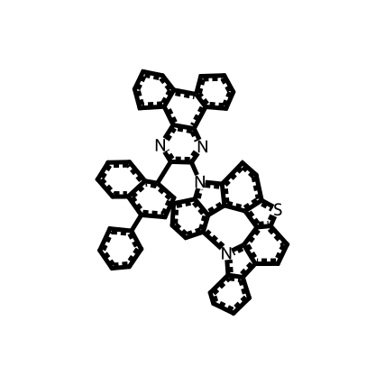 c1ccc(-c2ccc(-c3nc4c5ccccc5c5ccccc5c4nc3-n3c4ccc5sc6ccc7c8ccccc8n8c9cccc3c9c4c5c6c78)c3ccccc23)cc1